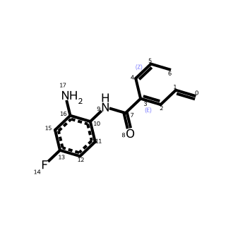 C=C/C=C(\C=C/C)C(=O)Nc1ccc(F)cc1N